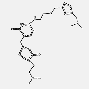 CN(C)CCn1ccc(Cc2cnc(NCCSCc3ccc(CN(C)C)o3)[nH]c2=O)cc1=O